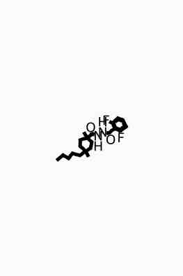 CCCCCC1(C)CCC(C)(C(=O)NNC(=O)c2c(F)cccc2F)CC1